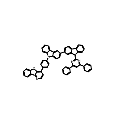 c1ccc(-c2cc(-c3ccccc3)nc(-n3c4ccccc4c4ccc(-c5ccc6c(c5)c5ccccc5n6-c5ccc(-c6ccnc7c6oc6ccccc67)cc5)cc43)n2)cc1